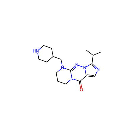 CC(C)c1ncc2c(=O)n3c(nn12)N(CC1CCNCC1)CCC3